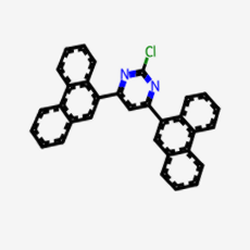 Clc1nc(-c2cc3ccccc3c3ccccc23)cc(-c2cc3ccccc3c3ccccc23)n1